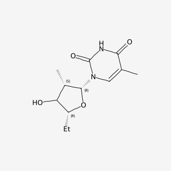 CC[C@H]1O[C@@H](n2cc(C)c(=O)[nH]c2=O)[C@@H](C)C1O